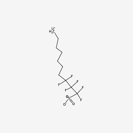 CCCCCCCC(F)(F)C(F)(F)C(F)(F)S(=O)(=O)[O-].[Li+]